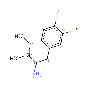 CC[SiH](C)C(N)Cc1ccc(F)c(F)c1